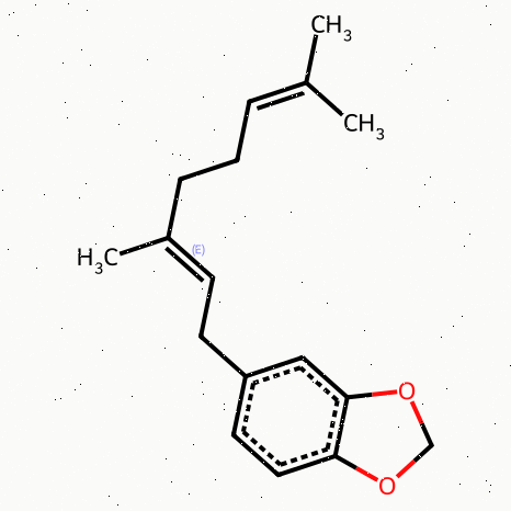 CC(C)=CCC/C(C)=C/Cc1ccc2c(c1)OCO2